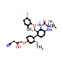 COc1cc(OC[C@@H](O)CC#N)ccc1-c1ccc2c(c1COc1cc(F)ccc1C)N(C)C(=O)C(C)(C)N2